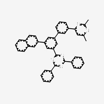 Cc1cc(-c2cccc(-c3cc(-c4ccc5ccccc5c4)cc(-c4nc(-c5ccccc5)nc(-c5ccccc5)n4)c3)c2)nc(C)n1